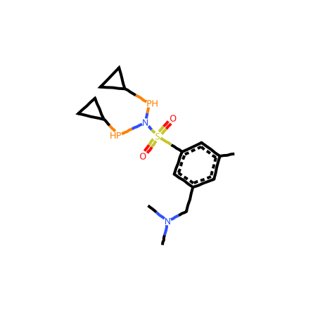 Cc1cc(CN(C)C)cc(S(=O)(=O)N(PC2CC2)PC2CC2)c1